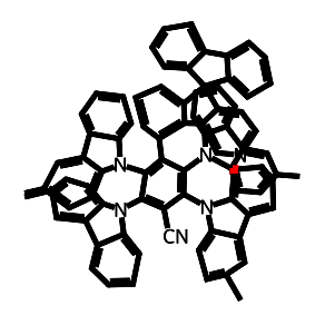 Cc1ccc2c(c1)c1ccccc1n2-c1c(C#N)c(-n2c3ccccc3c3cc(C)ccc32)c(-n2c3ccccc3c3cc(C)ccc32)c(-c2cccc3c2-c2cnccc2C32c3ccccc3-c3ccccc32)c1-n1c2ccccc2c2cc(C)ccc21